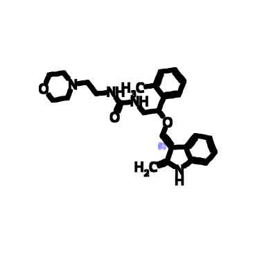 C=c1[nH]c2ccccc2/c1=C\OC(CNC(=O)NCCN1CCOCC1)c1ccccc1C